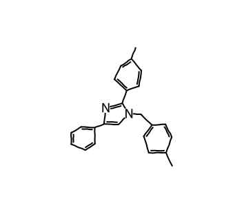 Cc1ccc(Cn2cc(-c3ccccc3)nc2-c2ccc(C)cc2)cc1